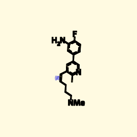 CNCCC/C=C\c1cc(-c2ccc(F)c(N)c2)cnc1C